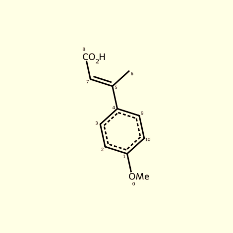 COc1ccc(C(C)=CC(=O)O)cc1